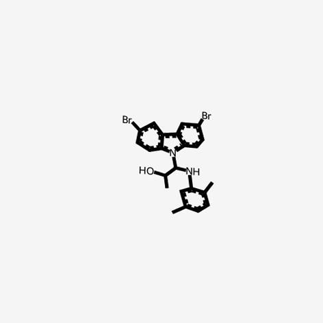 Cc1ccc(C)c(NC(C(C)O)n2c3ccc(Br)cc3c3cc(Br)ccc32)c1